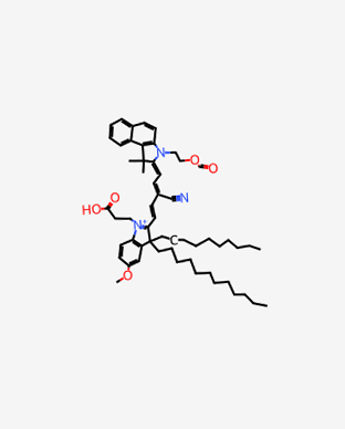 CCCCCCCCCCCCC1(CCCCCCCCCC)C(/C=C/C(C#N)=C/C=C2/N(CCOC=O)c3ccc4ccccc4c3C2(C)C)=[N+](CCC(=O)O)c2ccc(OC)cc21